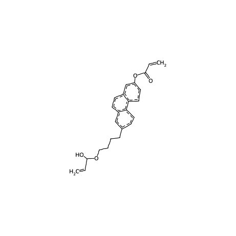 C=CC(=O)Oc1ccc2c(ccc3cc(CCCCOC(O)C=C)ccc32)c1